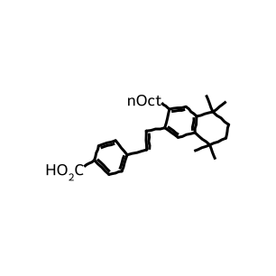 CCCCCCCCc1cc2c(cc1C=Cc1ccc(C(=O)O)cc1)C(C)(C)CCC2(C)C